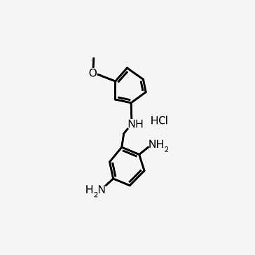 COc1cccc(NCc2cc(N)ccc2N)c1.Cl